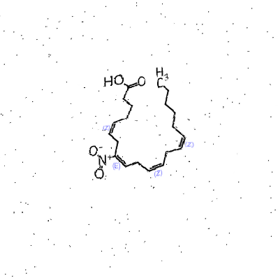 CCCCC/C=C\C/C=C\C/C=C(\C/C=C\CCCC(=O)O)[N+](=O)[O-]